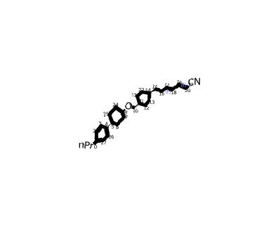 CCCc1ccc([C@H]2CC[C@H](OC[C@H]3CC[C@H](CC/C=C/C=C/C#N)CC3)CC2)cc1